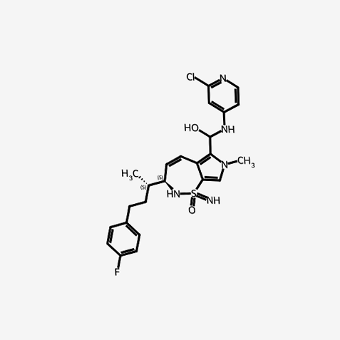 C[C@@H](CCc1ccc(F)cc1)[C@H]1C=Cc2c(cn(C)c2C(O)Nc2ccnc(Cl)c2)S(=N)(=O)N1